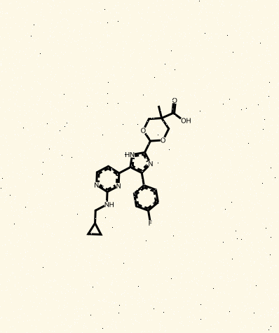 CC1(C(=O)O)COC(c2nc(-c3ccc(F)cc3)c(-c3ccnc(NCC4CC4)n3)[nH]2)OC1